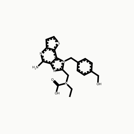 CCN(Cc1nc2c(N)nc3ccsc3c2n1Cc1ccc(CO)cc1)C(=O)O